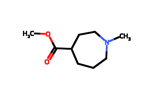 COC(=O)C1CCCN(C)CC1